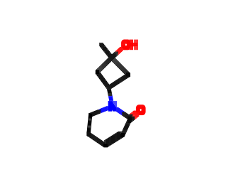 CC1(O)CC(N2CCC=CC2=O)C1